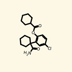 NC(=O)C1(c2cc(Cl)ccc2OC(=O)C2CCCCC2)CCCCC1